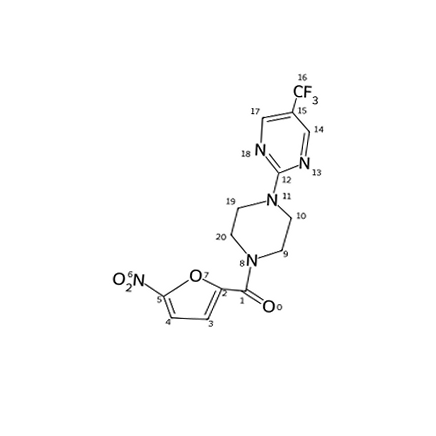 O=C(c1ccc([N+](=O)[O-])o1)N1CCN(c2ncc(C(F)(F)F)cn2)CC1